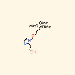 CO[Si](CCCOCn1ccnc1CCO)(OC)OC